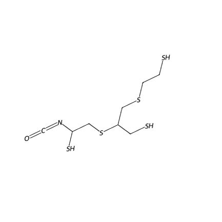 O=C=NC(S)CSC(CS)CSCCS